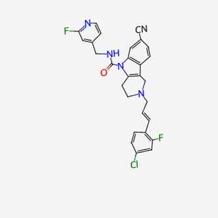 N#Cc1ccc2c3c(n(C(=O)NCc4ccnc(F)c4)c2c1)CCN(C/C=C/c1ccc(Cl)cc1F)C3